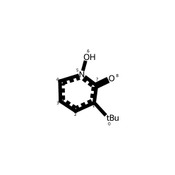 CC(C)(C)c1cccn(O)c1=O